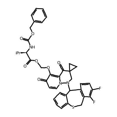 CC(C)[C@@H](NC(=O)OCc1ccccc1)C(=O)OCOc1c2n(ccc1=O)N(C1c3ccccc3SCc3c1ccc(F)c3F)CC1(CC1)C2=O